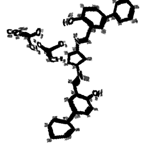 CC(=O)[O-].CC(=O)[O-].Oc1ccc(-c2ccccc2)cc1C=NC1CCC(N=Cc2cc(-c3ccccc3)ccc2O)C1.[Co+2]